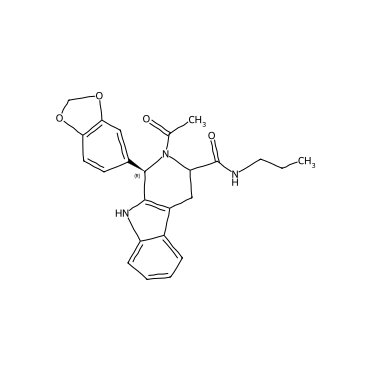 CCCNC(=O)C1Cc2c([nH]c3ccccc23)[C@@H](c2ccc3c(c2)OCO3)N1C(C)=O